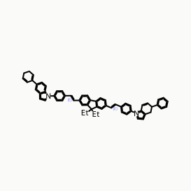 CCC1(CC)c2cc(/C=C/c3ccc(-n4ccc5c4C=CC(c4ccccc4)C5)cc3)ccc2-c2ccc(/C=C/c3ccc(-n4ccc5cc(C6=CCCC=C6)ccc54)cc3)cc21